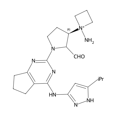 CC(C)c1cc(Nc2nc(N3CC[C@@H]([N+]4(N)CCC4)C3C=O)nc3c2CCC3)n[nH]1